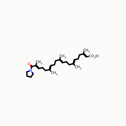 CCOC(=O)C=C(C)CCC=C(C)CCC=C(C)CCC=C(C)CCC=C(C)C(=O)N1CCCC1